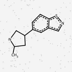 CC1CC(c2ccc3sncc3c2)C[N]1